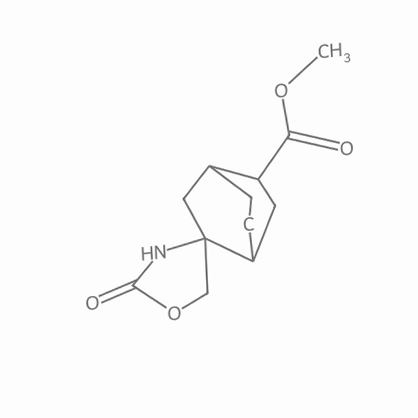 COC(=O)C1CC2CCC1CC21COC(=O)N1